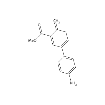 C=C1CC=C(c2ccc(N)cc2)C=C1C(=O)OC